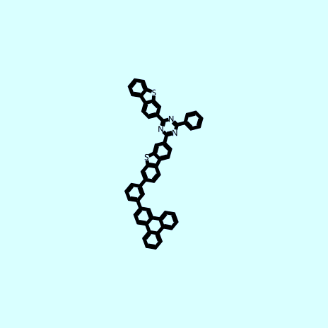 c1ccc(-c2nc(-c3ccc4c(c3)sc3ccccc34)nc(-c3ccc4c(c3)sc3cc(-c5cccc(-c6ccc7c8ccccc8c8ccccc8c7c6)c5)ccc34)n2)cc1